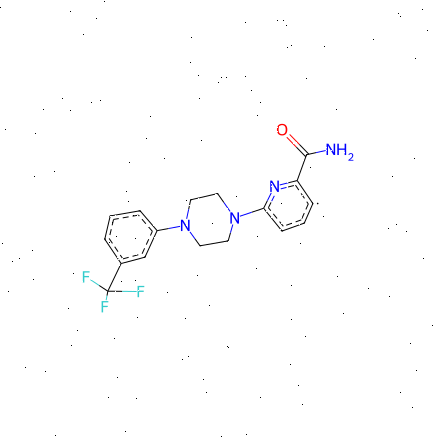 NC(=O)c1[c]ccc(N2CCN(c3cccc(C(F)(F)F)c3)CC2)n1